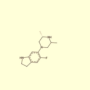 CC1CN(c2cc3c(cc2F)CCN3)C[C@H](C)N1